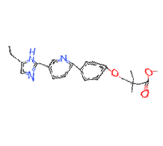 CCc1cnc(-c2ccc(-c3ccc(OCC(C)(C)C(=O)OC)cc3)nc2)[nH]1